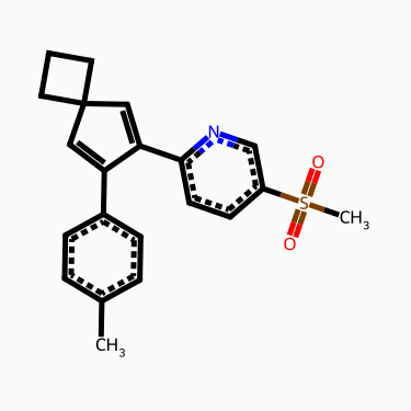 Cc1ccc(C2=CC3(C=C2c2ccc(S(C)(=O)=O)cn2)CCC3)cc1